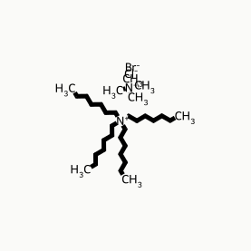 CCCCCCC[N+](CCCCCCC)(CCCCCCC)CCCCCCC.C[N+](C)(C)C.[Br-].[Cl-]